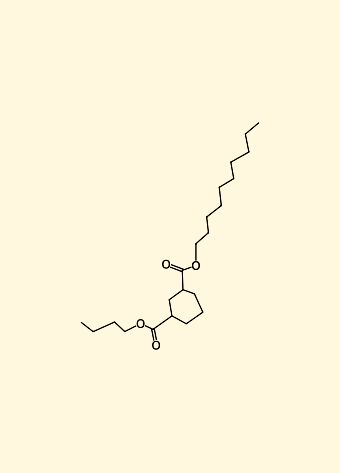 CCCCCCCCCCOC(=O)C1CCCC(C(=O)OCCCC)C1